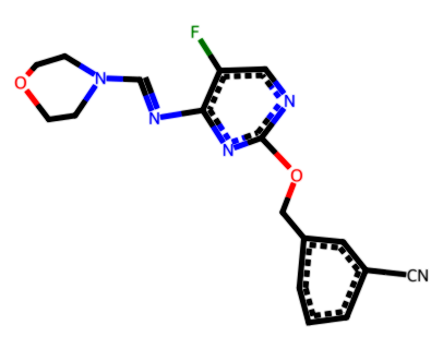 N#Cc1cccc(COc2ncc(F)c(/N=C/N3CCOCC3)n2)c1